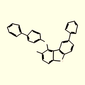 Cc1ccc2[nH]c3ccc(-c4ccccc4)cc3c2c1Oc1ccc(-c2ccccc2)cc1